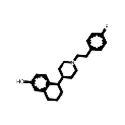 Oc1ccc2c(c1)CCCC2C1CCN(CCc2ccc(F)cc2)CC1